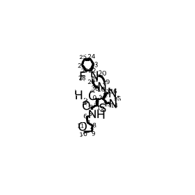 Cc1c(C(=O)NCC2CCCO2)sc2ncnc(N3CCN(c4ccccc4F)CC3)c12